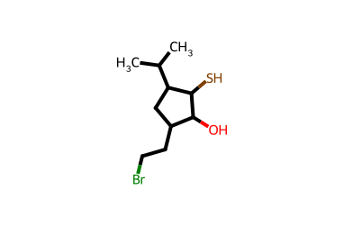 CC(C)C1CC(CCBr)C(O)C1S